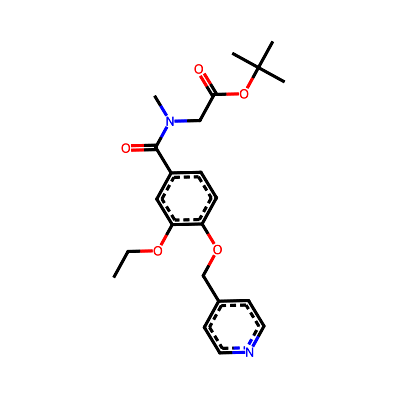 CCOc1cc(C(=O)N(C)CC(=O)OC(C)(C)C)ccc1OCc1ccncc1